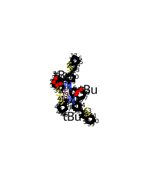 CC(C)(C)c1cc2c3c(c1)N(c1ccc(-c4cc5ccccc5s4)cc1-c1ccccc1)c1c(sc4ccc(C(C)(C)C)cc14)B3c1sc3ccc(C(C)(C)C)cc3c1N2c1ccc(-c2cc3ccccc3s2)cc1-c1ccccc1